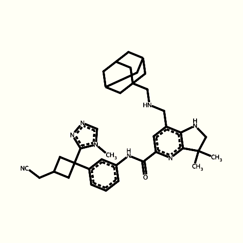 Cn1cnnc1C1(c2cccc(NC(=O)c3cc(CNCC45CC6CC(CC(C6)C4)C5)c4c(n3)C(C)(C)CN4)c2)CC(CC#N)C1